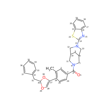 Cc1cc(C(=O)N2CC3CC(C2)CN(c2nc4ccccc4s2)C3)ccc1C1=COC(Cc2ccccc2)O1